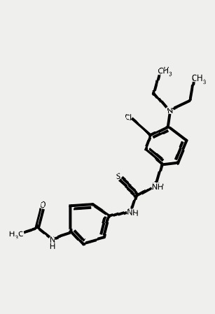 CCN(CC)c1ccc(NC(=S)Nc2ccc(NC(C)=O)cc2)cc1Cl